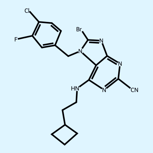 N#Cc1nc(NCCC2CCC2)c2c(n1)nc(Br)n2Cc1ccc(Cl)c(F)c1